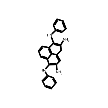 NC1=C(Nc2ccccc2)c2cccc3c(Nc4ccccc4)c(N)cc(c23)C1